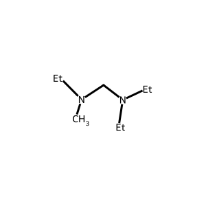 CCN(C)CN(CC)CC